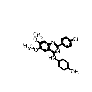 COc1cc2nc(-c3ccc(Cl)cc3)nc(NC3CCC(O)CC3)c2cc1OC